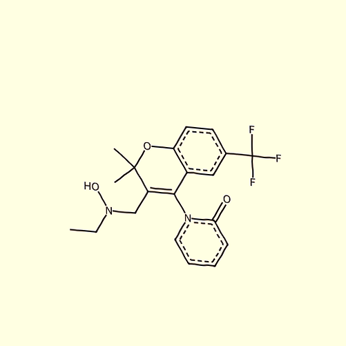 CCN(O)CC1=C(n2ccccc2=O)c2cc(C(F)(F)F)ccc2OC1(C)C